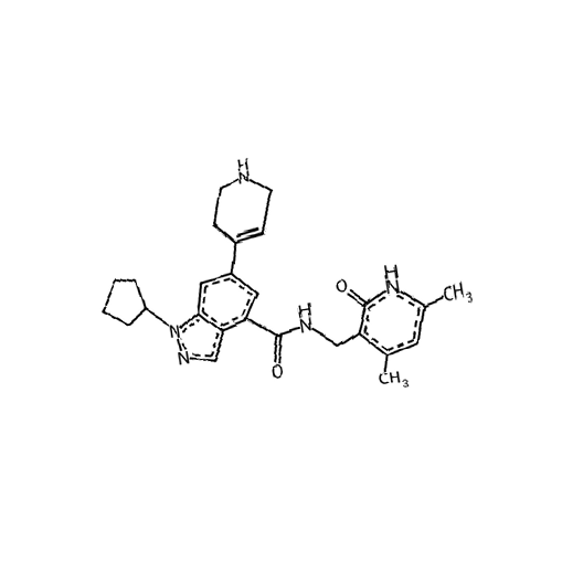 Cc1cc(C)c(CNC(=O)c2cc(C3=CCNCC3)cc3c2cnn3C2CCCC2)c(=O)[nH]1